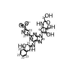 O=C(CO)N[C@H]1C[C@@H](n2cnc3c(N[C@H](CO)Cc4ccccc4)nc(-n4cnc([N+](=O)[O-])c4)nc32)[C@H](O)[C@@H]1O